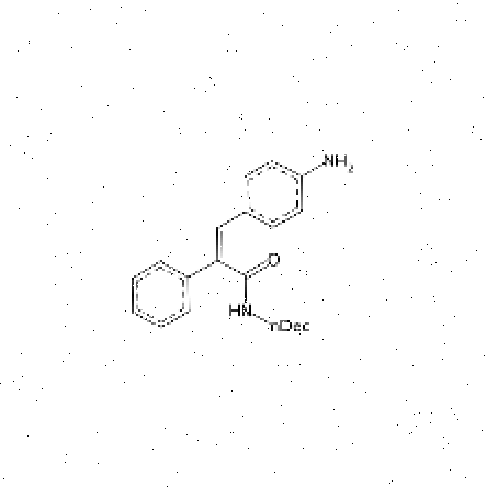 CCCCCCCCCCNC(=O)/C(=C\c1ccc(N)cc1)c1ccccc1